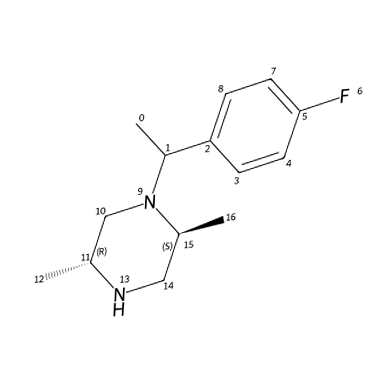 CC(c1ccc(F)cc1)N1C[C@@H](C)NC[C@@H]1C